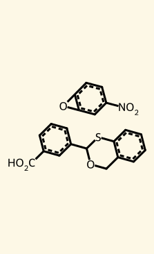 O=C(O)c1cccc(C2OCc3ccccc3S2)c1.O=[N+]([O-])c1ccc2c(c1)O2